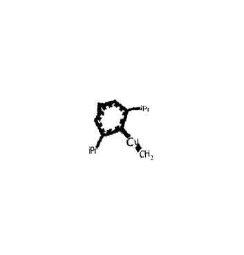 [CH2]=[Cu][c]1c(C(C)C)cccc1C(C)C